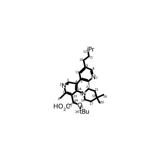 Cc1ncc(-c2cncc(CCC(C)C)c2)c(N2CCC(C)(C)CC2)c1[C@H](OC(C)(C)C)C(=O)O